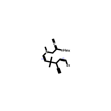 C#CC(/C=C\CC)C(C)(C)/C=C\N(C)CC(=C=C)CCCCCC